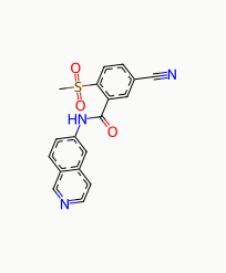 CS(=O)(=O)c1ccc(C#N)cc1C(=O)Nc1ccc2cnccc2c1